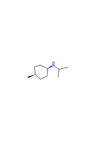 CC(C)N[C@H]1CC[C@@H](C)CC1